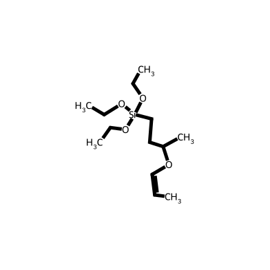 C/C=C\OC(C)CC[Si](OCC)(OCC)OCC